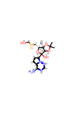 CC1(C)O[C@@H]2[C@@H](CPCO)OC(O)(c3ccc4c(N)ncnn34)[C@]2(C)O1